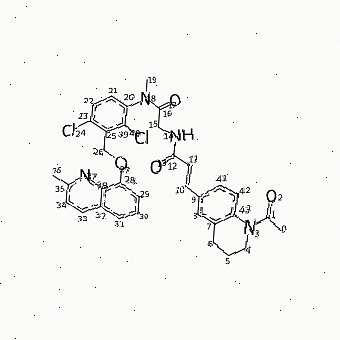 CC(=O)N1CCCc2cc(/C=C/C(=O)NCC(=O)N(C)c3ccc(Cl)c(COc4cccc5ccc(C)nc45)c3Cl)ccc21